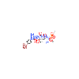 CCOP(=O)(CNC(=O)CC1(C(C)C)NC(=O)N(NC(=O)Nc2ccc(Br)cc2)C1=O)OCC